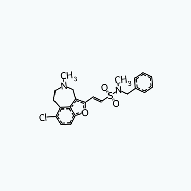 CN1CCc2c(Cl)ccc3oc(/C=C/S(=O)(=O)N(C)Cc4ccccc4)c(c23)C1